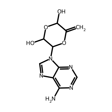 C=C1OC(n2cnc3c(N)ncnc32)C(O)OC1O